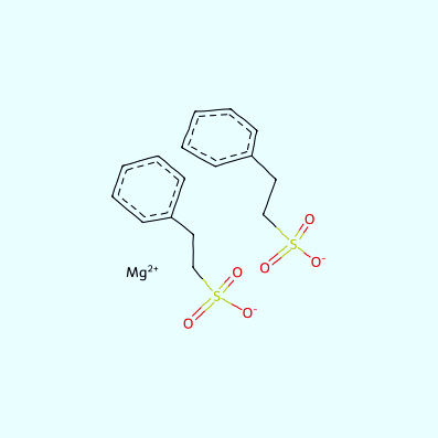 O=S(=O)([O-])CCc1ccccc1.O=S(=O)([O-])CCc1ccccc1.[Mg+2]